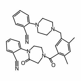 Cc1cc(C)c(C(=O)N2CCN(c3ccccc3C#N)C(=O)C2)cc1CN1CCN(c2ccccc2C#N)CC1